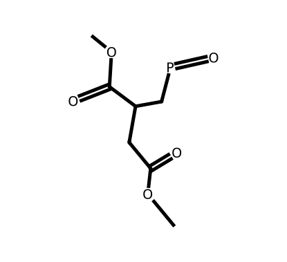 COC(=O)CC(CP=O)C(=O)OC